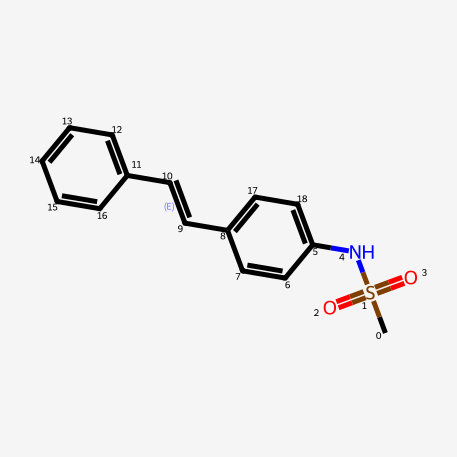 CS(=O)(=O)Nc1ccc(/C=C/c2ccccc2)cc1